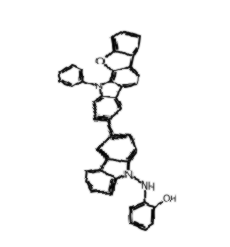 Oc1ccccc1Nn1c2ccccc2c2cc(-c3ccc4c(c3)c3ccc5c6ccccc6oc5c3n4-c3ccccc3)ccc21